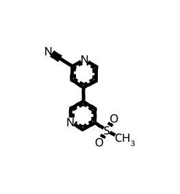 CS(=O)(=O)c1cncc(-c2ccnc(C#N)c2)c1